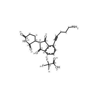 NCCCC#Cc1cccc2c1C(=O)N(C1CCC(=O)NC1=O)C2=O.O=C(O)C(F)(F)F